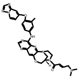 Cc1cc(Nc2ncnc3cc4c(nc23)N2CCN(C(=O)/C=C/CN(C)C)[C@H](CO4)C2)ccc1Oc1ccn2ncnc2c1